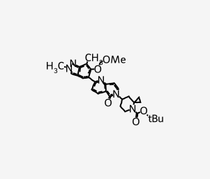 COCOc1c(-c2ccc3c(=O)n(C4CCN(C(=O)OC(C)(C)C)C5(CC5)C4)ccc3n2)cc2cn(C)nc2c1C